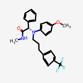 CNC(=O)[C@H](c1ccccc1)N(CCCc1ccc(C(F)(F)F)cc1)c1ccc(OC)cc1